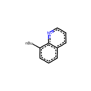 [CH2]CC[CH]c1cccc2cccnc12